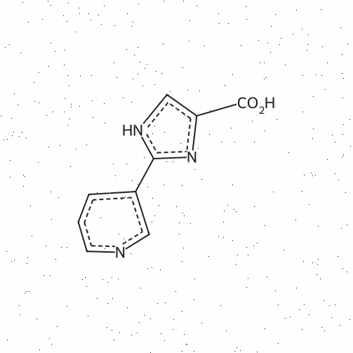 O=C(O)c1c[nH]c(-c2cccnc2)n1